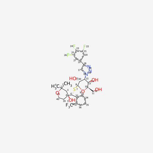 CC1(C)C[C@](O)([C@H](S[C@@H]2O[C@H](CO)[C@H](O)[C@H](n3cc(-c4cc(F)c(F)c(F)c4)nn3)[C@H]2O)c2ccccc2C(F)(F)F)CCO1